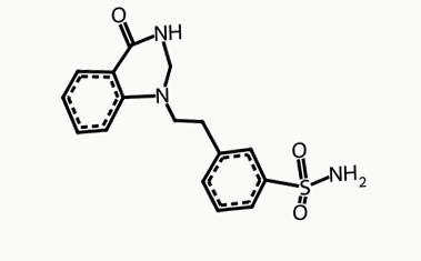 NS(=O)(=O)c1cccc(CCN2CNC(=O)c3ccccc32)c1